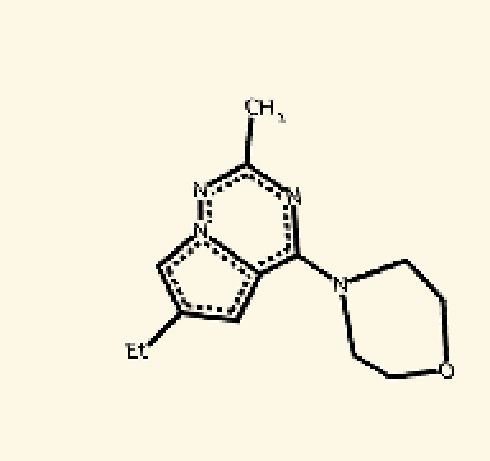 CCc1cc2c(N3CCOCC3)nc(C)nn2c1